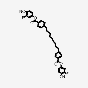 N#Cc1ccc(OC(=O)c2ccc(CCCCCCCCCc3ccc(C(=O)Oc4ccc(C#N)c(F)c4)cc3)cc2)cc1F